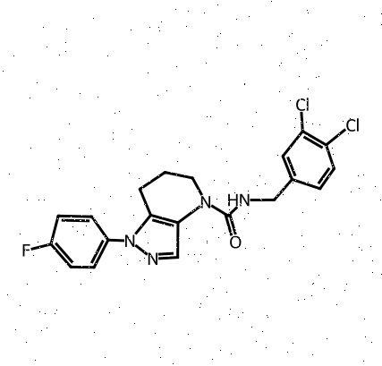 O=C(NCc1ccc(Cl)c(Cl)c1)N1CCCc2c1cnn2-c1ccc(F)cc1